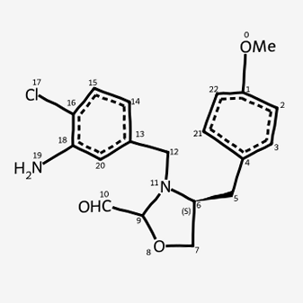 COc1ccc(C[C@H]2COC(C=O)N2Cc2ccc(Cl)c(N)c2)cc1